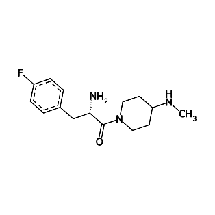 CNC1CCN(C(=O)[C@@H](N)Cc2ccc(F)cc2)CC1